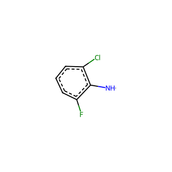 [NH]c1c(F)cccc1Cl